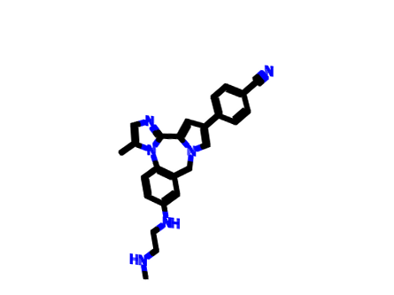 CNCCNc1ccc2c(c1)Cn1cc(-c3ccc(C#N)cc3)cc1-c1ncc(C)n1-2